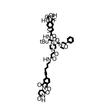 CC(C)(C)C(NC(=O)c1cc2cc(C(F)(F)P(=O)(O)O)ccc2s1)C(=O)N1CCN(C(=O)CC(=O)NCCCCC#Cc2ccc3c(c2)C(=O)N(C2CCC(=O)NC2=O)C3=O)C[C@H]1C(=O)N1CCO[C@H](c2ccccc2)C1